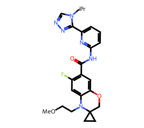 COCCN1c2cc(F)c(C(=O)Nc3cccc(-c4nncn4C(C)C)n3)cc2OCC12CC2